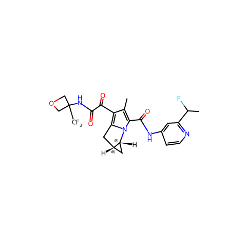 Cc1c(C(=O)C(=O)NC2(C(F)(F)F)COC2)c2n(c1C(=O)Nc1ccnc(C(C)F)c1)[C@@H]1C[C@@H]1C2